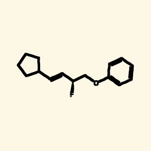 F[C@@H](/C=C/C1CCCC1)COc1ccccc1